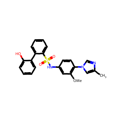 COc1cc(NS(=O)(=O)c2ccccc2-c2ccccc2O)ccc1-n1cnc(C)c1